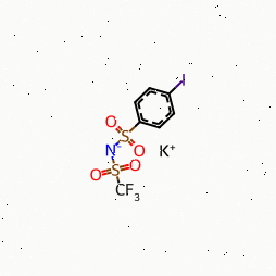 O=S(=O)([N-]S(=O)(=O)C(F)(F)F)c1ccc(I)cc1.[K+]